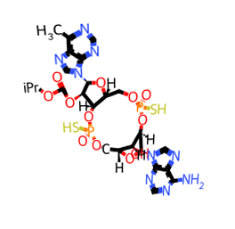 Cc1ncnc2c1ncn2[C@@H]1O[C@@H]2COP(=O)(S)O[C@@H]3[C@H](O)[C@@H](COP(=O)(S)O[C@H]2[C@H]1OC(=O)OC(C)C)O[C@H]3n1cnc2c(N)ncnc21